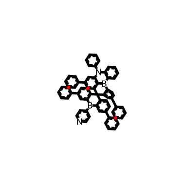 c1ccc(-c2ccc3c(c2)B(c2ccncc2)c2cc(-c4ccccc4)ccc2C32c3cc(-c4ccccc4)ccc3B3c4ccccc4N(c4ccccc4)c4cc(-c5ccccc5)cc2c43)cc1